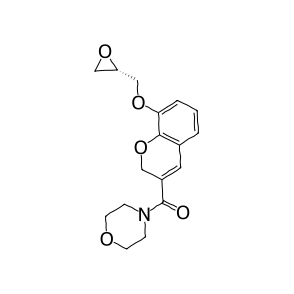 O=C(C1=Cc2cccc(OC[C@@H]3CO3)c2OC1)N1CCOCC1